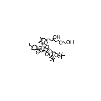 C=C1[C@@H](C)C[C@H](CC[C@H](O)CCOCCO)O[C@@H]1C[C@@H]1O[C@H](C[C@@H](CO[Si](C)(C)C(C)(C)C)O[Si](C)(C)C(C)(C)C)[C@@H](OC)[C@H]1CS(=O)(=O)c1ccc(CC)cc1